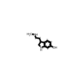 CNCCC1CNc2cc(O)ccc21